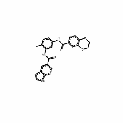 Cc1ccc(NC(=O)c2ccc3c(c2)OCCO3)cc1NC(=O)c1cnc2[nH]cnc2c1